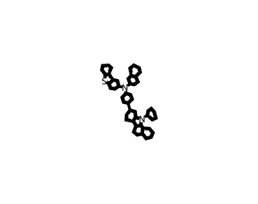 c1ccc(-n2c3cc(-c4ccc(N(c5ccc6ccccc6c5)c5ccc6sc7ccccc7c6c5)cc4)ccc3c3ccc4ccccc4c32)cc1